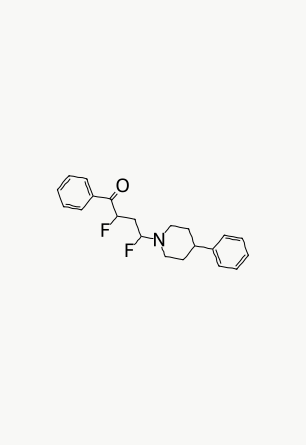 O=C(c1ccccc1)C(F)CC(F)N1CCC(c2ccccc2)CC1